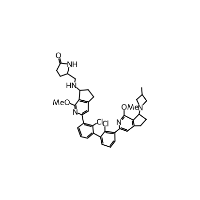 COc1nc(-c2cccc(-c3cccc(-c4cc5c(c(OC)n4)C(N4CC(C)C4)CC5)c3Cl)c2Cl)cc2c1C(NCC1CCC(=O)N1)CC2